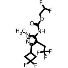 Cn1nc(C2CC(F)(F)C2)c(CC(F)(F)F)c1NC(=O)OCC(F)F